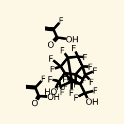 C=C(F)C(=O)O.C=C(F)C(=O)O.OC(F)(F)C12C(F)(F)C3(F)C(F)(F)C(F)(C1(F)F)C(F)(F)C(C(O)(F)F)(C3(F)F)C2(F)F